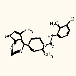 Cc1c[nH]c2ncnc(C3=CC(C)N(C(=O)NC4=CC=CC(Cl)C4C)CC3)c12